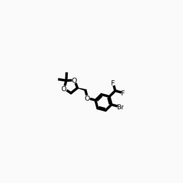 CC1(C)OC[C@H](COc2ccc(Br)c(C(F)F)c2)O1